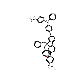 Cc1ccc(-c2ccc3c(c2)C(Cc2ccccc2)(Cc2ccccc2)c2cc(-c4ccc(N(c5ccccc5)c5ccc(C)cc5)cc4)ccc2-3)cc1